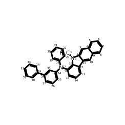 Cn1c2cc3ccccc3cc2c2cccc(N(c3ccccc3)c3cccc(-c4ccccc4)c3)c21